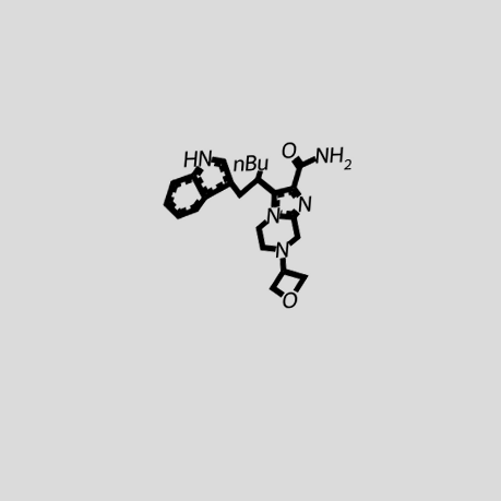 CCCCC(Cc1c[nH]c2ccccc12)c1c(C(N)=O)nc2n1CCN(C1COC1)C2